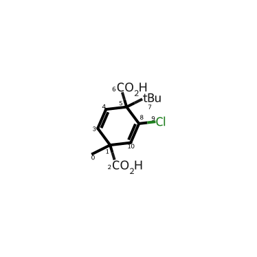 CC1(C(=O)O)C=CC(C(=O)O)(C(C)(C)C)C(Cl)=C1